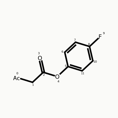 CC(=O)CC(=O)Oc1ccc(F)cc1